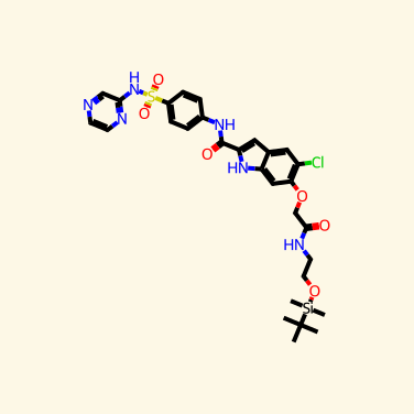 CC(C)(C)[Si](C)(C)OCCNC(=O)COc1cc2[nH]c(C(=O)Nc3ccc(S(=O)(=O)Nc4cnccn4)cc3)cc2cc1Cl